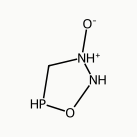 [O-][NH+]1CPON1